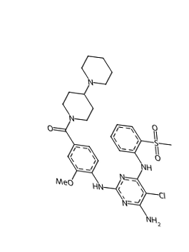 COc1cc(C(=O)N2CCC(N3CCCCC3)CC2)ccc1Nc1nc(N)c(Cl)c(Nc2ccccc2S(C)(=O)=O)n1